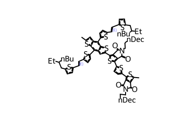 CCCCCCCCCCCCN1C(=O)c2c(C)sc(-c3ccc(-c4sc(-c5cc6c(-c7ccc(/C=C/c8ccc(CC(CC)CCCC)s8)s7)c7sc(C)cc7c(-c7ccc(/C=C/c8ccc(CC(CC)CCCC)s8)s7)c6s5)c5c4C(=O)N(CCCCCCCCCCCC)C5=O)s3)c2C1=O